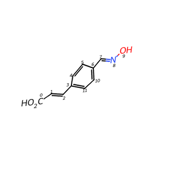 O=C(O)C=Cc1ccc(C=NO)cc1